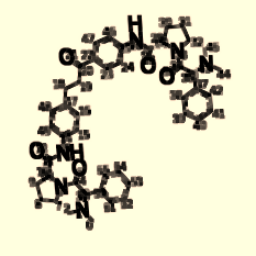 CN(C)[C@@H](C(=O)N1CCC[C@H]1C(=O)Nc1ccc(CCC(=O)c2ccc(NC(=O)[C@@H]3CCCN3C(=O)[C@@H](c3ccccc3)N(C)C)cc2)cc1)c1ccccc1